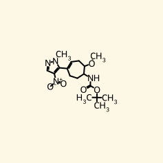 COC1CC=C(c2c([N+](=O)[O-])cnn2C)CCC1NC(=O)OC(C)(C)C